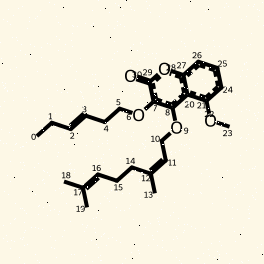 CCC=CCCOc1c(OCC=C(C)CCC=C(C)C)c2c(OC)cccc2oc1=O